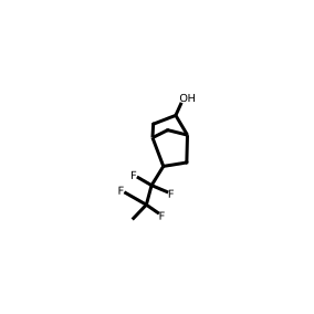 CC(F)(F)C(F)(F)C1CC2CC1CC2O